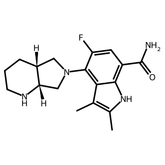 Cc1[nH]c2c(C(N)=O)cc(F)c(N3C[C@H]4CCCN[C@H]4C3)c2c1C